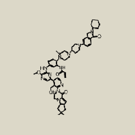 C=CC(=O)Nc1cc(Nc2nc(-c3ccnc(N4CCn5c(cc6c5CC(C)(C)C6)C4=O)c3CO)cnc2OC)ccc1N1CCN(C2CCN(c3ccc4c(c3)CN(C3CCCCC3)C4=O)CC2)C[C@@H]1C